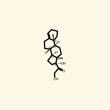 C[C@]12CCCC=C1CC[C@@H]1[C@@H]2CC[C@@]2(C)[C@H]1CC[C@]2(O)C(=O)CO